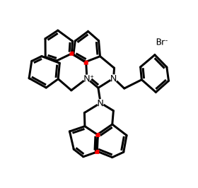 [Br-].c1ccc(CN(Cc2ccccc2)C(N(Cc2ccccc2)Cc2ccccc2)=[N+](Cc2ccccc2)Cc2ccccc2)cc1